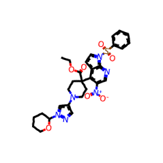 CCOC(=O)C1(c2c([N+](=O)[O-])cnc3c2ccn3S(=O)(=O)c2ccccc2)CCN(c2cnn(C3CCCCO3)c2)CC1